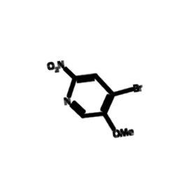 COc1cnc([N+](=O)[O-])cc1Br